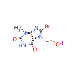 Cn1c(=O)[nH]c(=O)c2c1nc(Br)n2CCOI